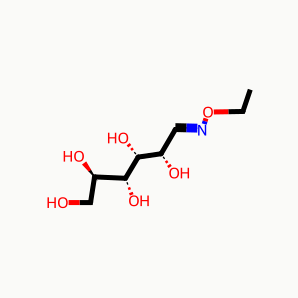 CCON=C[C@H](O)[C@@H](O)[C@H](O)[C@H](O)CO